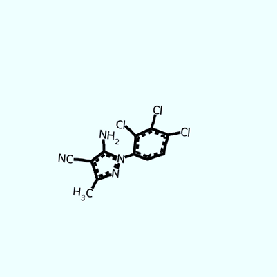 Cc1nn(-c2ccc(Cl)c(Cl)c2Cl)c(N)c1C#N